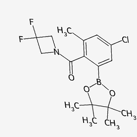 Cc1cc(Cl)cc(B2OC(C)(C)C(C)(C)O2)c1C(=O)N1CC(F)(F)C1